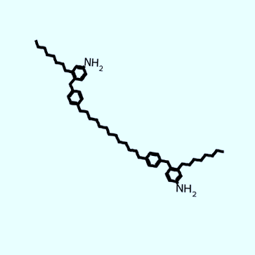 CCCCCCCCc1cc(N)ccc1Cc1ccc(CCCCCCCCCCCCCc2ccc(Cc3ccc(N)cc3CCCCCCCC)cc2)cc1